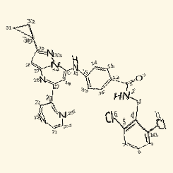 O=C(NCc1c(Cl)cccc1Cl)c1ccc(Nc2cc(-c3cnccn3)nc3cc(C4CC4)nn23)cc1